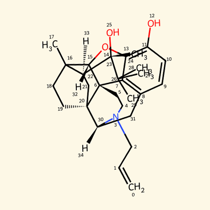 C=CCN1CC[C@]23c4c5ccc(O)c4O[C@H]2C2(C)CC[C@@]3(C[C@@H]2[C@](C)(O)C(C)(C)C)[C@H]1C5